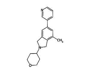 Cc1cc(-c2cccnc2)cc2c1CN(C1CCOCC1)C2